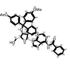 COc1ccc(C(O[C@H]2C[C@H](n3cnc4c(NC(=O)c5ccccc5)ncnc43)O[C@@H]2CO)(c2ccccc2)c2ccc(OC)cc2)cc1